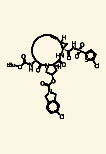 CC(C)(C)OC(=O)N[C@H]1CCCCC/C=C\[C@@H]2C[C@@]2(C(=O)NS(=O)(=O)c2ccc(Cl)s2)NC(=O)[C@@H]2C[C@@H](OC(=O)N3Cc4ccc(Cl)cc4C3)CN2C1=O